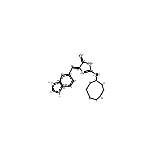 O=C1NC(NC2CCCCCCC2)=N/C1=C\c1ccc2ncoc2c1